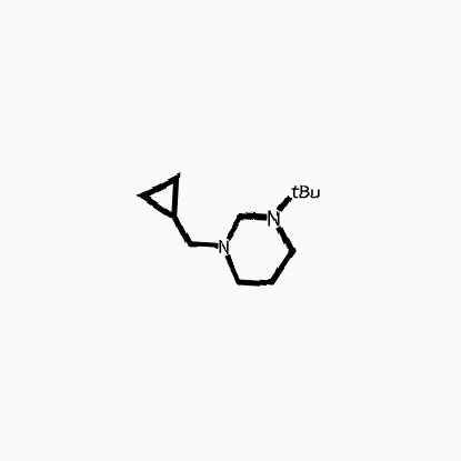 CC(C)(C)N1CCCN(CC2CC2)C1